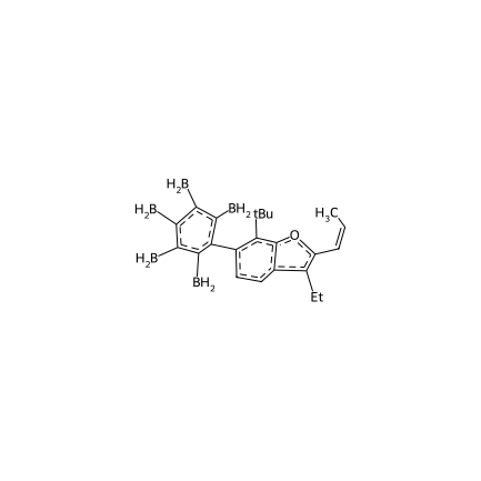 Bc1c(B)c(B)c(-c2ccc3c(CC)c(/C=C\C)oc3c2C(C)(C)C)c(B)c1B